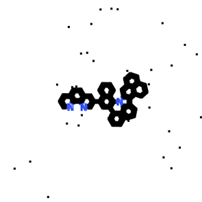 C1=Cc2cccc3cc4c(c(c23)C1)c1ccccc1n4-c1c(-c2ccccc2)cc(-c2cnc3c(ccc4cccnc43)c2)c2ccccc12